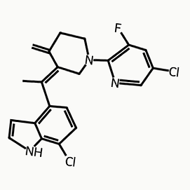 C=C1CCN(c2ncc(Cl)cc2F)C/C1=C(/C)c1ccc(Cl)c2[nH]ccc12